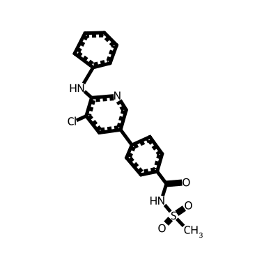 CS(=O)(=O)NC(=O)c1ccc(-c2cnc(Nc3ccccc3)c(Cl)c2)cc1